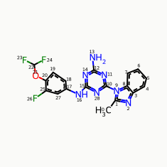 Cc1nc2ccccc2n1-c1nc(N)nc(Nc2ccc(OC(F)F)c(F)c2)n1